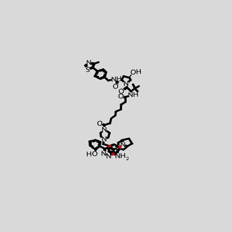 Cc1ncsc1-c1ccc(CNC(=O)[C@@H]2C[C@@H](O)CN2C(=O)[C@@H](NC(=O)CCCCCCCC(=O)N2CCN(Cc3cccc(N4C5CCC4CN(c4cc(-c6ccccc6O)nnc4N)C5)c3)CC2)C(C)(C)C)cc1